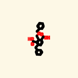 O=C(O)c1ccc(Cc2ccccc2)c(C(=O)O)c1COCc1ccccc1